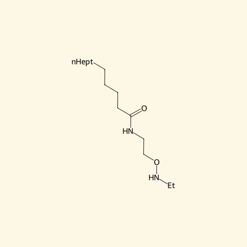 CCCCCCCCCCCC(=O)NCCONCC